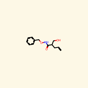 C=CCC(CO)C(=O)NOCc1ccccc1